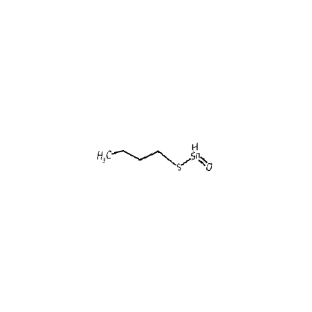 CCCC[S][SnH]=[O]